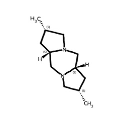 C[C@H]1C[C@H]2CN3C[C@@H](C)C[C@H]3CN2C1